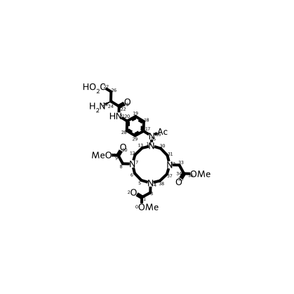 COC(=O)CN1CCN(CC(=O)OC)CCN(N(C(C)=O)c2ccc(NC(=O)[C@@H](N)CC(=O)O)cc2)CCN(CC(=O)OC)CC1